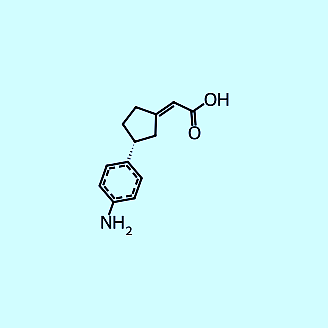 Nc1ccc([C@@H]2CCC(=CC(=O)O)C2)cc1